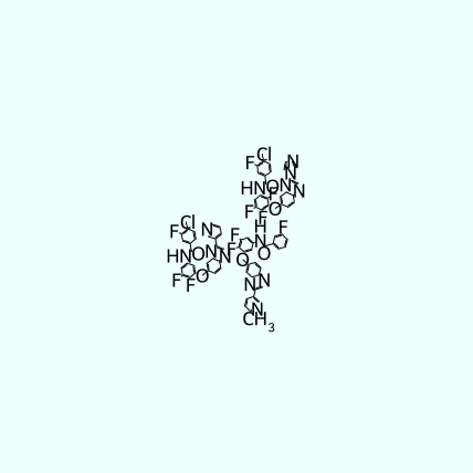 Cc1ccc(-c2cnc3ccc(Oc4cc(NC(=O)c5cccc(F)c5)cc(F)c4F)cc3n2)cn1.O=C(Nc1cc(F)c(F)c(Oc2ccc3ncc(-c4cccnc4)nc3c2)c1)c1ccc(Cl)c(F)c1.O=C(Nc1cc(F)c(F)c(Oc2ccc3ncc(-n4ccnc4)nc3c2)c1F)c1ccc(Cl)c(F)c1